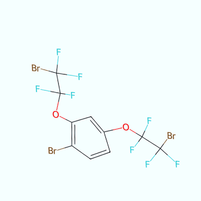 FC(F)(Br)C(F)(F)Oc1ccc(Br)c(OC(F)(F)C(F)(F)Br)c1